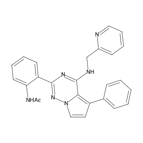 CC(=O)Nc1ccccc1-c1nc(NCc2ccccn2)c2c(-c3ccccc3)ccn2n1